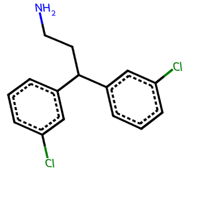 NCCC(c1cccc(Cl)c1)c1cccc(Cl)c1